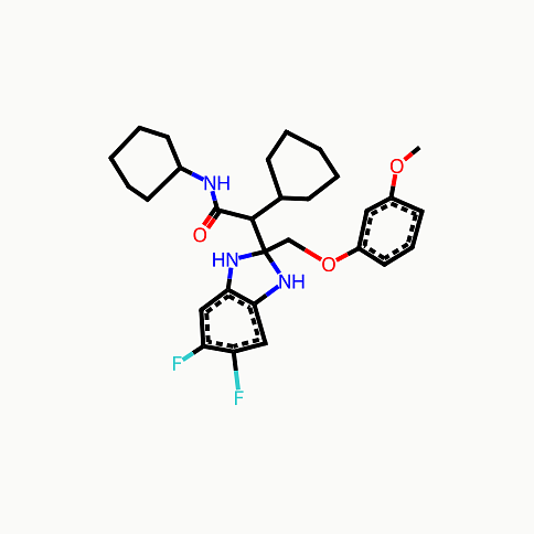 COc1cccc(OCC2(C(C(=O)NC3CCCCC3)C3CCCCC3)Nc3cc(F)c(F)cc3N2)c1